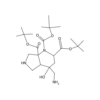 CC(C)(C)OC(=O)C1CC(O)(CN)C2CNCC2(C(=O)OC(C)(C)C)N1C(=O)OC(C)(C)C